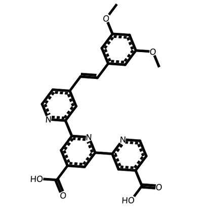 COc1cc(/C=C/c2ccnc(-c3cc(C(=O)O)cc(-c4cc(C(=O)O)ccn4)n3)c2)cc(OC)c1